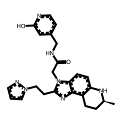 C[C@H]1CCc2c(ccc3c2nc(CCn2cccn2)n3CC(=O)NCc2ccnc(O)c2)N1